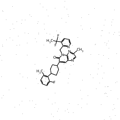 Cc1cnc2cc(C3CCC(c4c(C)cccc4F)CC3)c(=O)n(Cc3ncccc3C(C)(F)F)c2n1